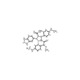 CCN(C(=O)N1CC(c2ccc3c(c2)OCO3)C(C(=O)O)C1c1ccc(OC)cc1)c1ccc(OC)cc1